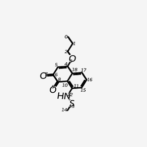 CCCOC1=CC(=O)C(=O)c2c(NSC)cccc21